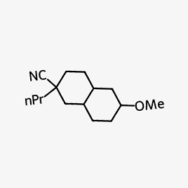 CCCC1(C#N)CCC2CC(OC)CCC2C1